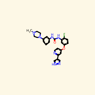 CN1CCN(c2cccc(NC(=O)Nc3cc(Oc4ccnc(-c5cn[nH]c5)c4)ccc3F)c2)CC1